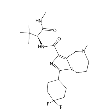 CNC(=O)[C@@H](NC(=O)c1nc(C2CCC(F)(F)CC2)n2c1CN(C)CCC2)C(C)(C)C